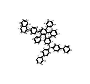 c1ccc(-c2ccc(N(c3ccc(-c4ccccc4)cc3)c3ccc4c(c3)c3ccccc3c3c(-c5ccccc5)cc(-c5ccc(-c6cccc7ccccc67)cc5)c(-c5ccccc5)c43)cc2)cc1